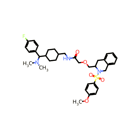 COc1ccc(S(=O)(=O)N2Cc3ccccc3CC2COCC(=O)NCC2CCC(C(c3ccc(F)cc3)N(C)C)CC2)cc1